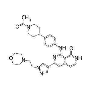 CC(=O)N1CCC(c2ccc(Nc3nc(-c4cnn(CCN5CCOCC5)c4)cc4cc[nH]c(=O)c34)cc2)CC1